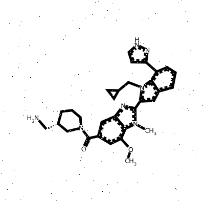 COc1cc(C(=O)N2CCC[C@@H](CN)C2)cc2nc(-c3cc4cccc(-c5cc[nH]n5)c4n3CC3CC3)n(C)c12